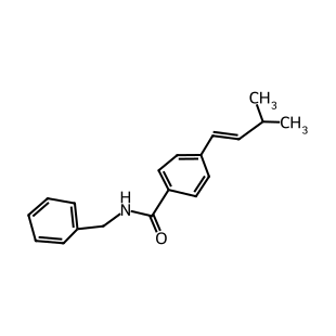 CC(C)/C=C/c1ccc(C(=O)NCc2ccccc2)cc1